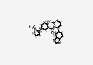 CC1N=CC=C(c2ccc3ncsc3c2)N1[C@@H](C)c1cccc(-c2ccnn2C)c1